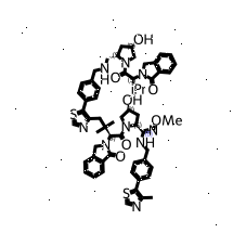 CO/N=C(/NCc1ccc(-c2scnc2C)cc1)[C@@H]1C[C@@H](O)CN1C(=O)[C@@H](N1Cc2ccccc2C1=O)C(C)(C)Cc1ncsc1-c1ccc(CNC[C@@H]2C[C@@H](O)CN2C(=O)[C@H](C(C)C)N2Cc3ccccc3C2=O)cc1